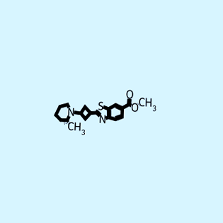 COC(=O)c1ccc2nc(C3CC(N4CCCC[C@@H]4C)C3)sc2c1